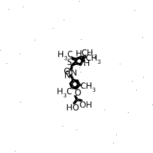 Cc1cc(-c2noc(-c3sc(C)c4c3C[C@@H]3[C@H]4C3(C)C)n2)cc(C)c1OCC(CO)CO